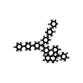 c1ccc(-c2ccc(-c3ccc(N(c4ccc(-c5ccc(-c6ccccc6)cc5)cc4)c4cccc(-c5cccc6c5c5c7ccccc7ccc5n6-c5ccccc5)c4)cc3)cc2)cc1